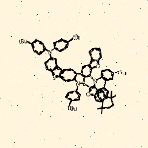 CC(C)(C)c1ccc(N2B3c4oc5cc6c(cc5c4N(c4ccc(C(C)(C)C)cc4-c4ccccc4)c4c3c(cc3c4oc4ccccc43)-c3cc4c(cc32)sc2ccc(N(c3ccc(C(C)(C)C)cc3)c3ccc(C(C)(C)C)cc3)cc24)C(C)(C)CCC6(C)C)cc1